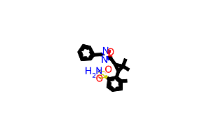 Cc1cccc(S(N)(=O)=O)c1C1C(c2nc(-c3ccccc3)no2)C1(C)C